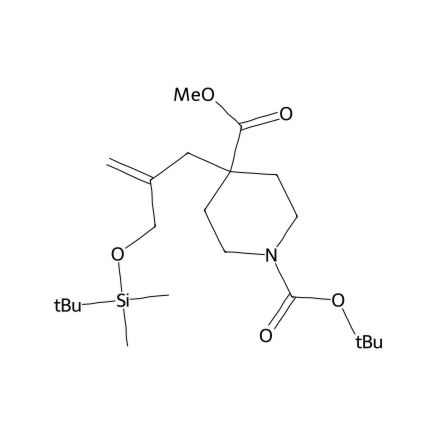 C=C(CO[Si](C)(C)C(C)(C)C)CC1(C(=O)OC)CCN(C(=O)OC(C)(C)C)CC1